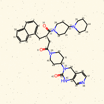 O=C(C[C@@H](Cc1cccc2ccccc12)C(=O)N1CCC(N2CCCCC2)CC1)N1CCC(N2Cc3ccncc3NC2=O)CC1